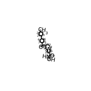 Cc1ccc(-c2ccc(C(=O)N3CCCn4cc(C(=O)NO)cc4C3)cc2)cc1